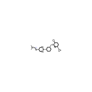 CN(C)/C=N/c1cnc(-c2cccc(Cn3nc(C4CC4)ccc3=O)c2)nc1